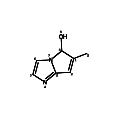 CC1=Cc2nccn2C1O